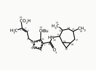 C/C(=C\Cn1ncc(C(=O)NC2C(C)CC(C)CC3CC32)c1OCC(C)C)C(=O)O